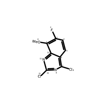 COc1c(F)ccc2c(Cl)nc(Cl)nc12